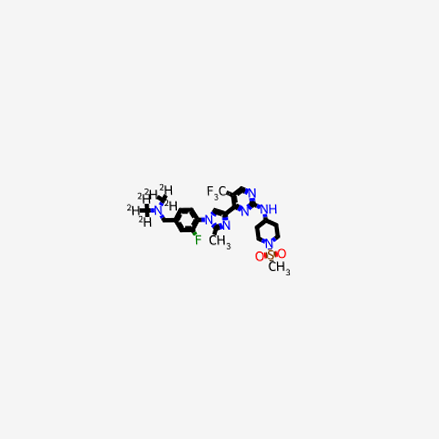 [2H]C([2H])([2H])N(Cc1ccc(-n2cc(-c3nc(NC4CCN(S(C)(=O)=O)CC4)ncc3C(F)(F)F)nc2C)c(F)c1)C([2H])([2H])[2H]